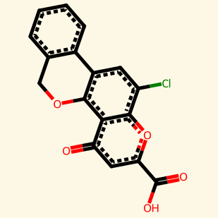 O=C(O)c1cc(=O)c2c3c(cc(Cl)c2o1)-c1ccccc1CO3